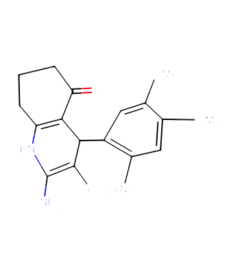 CCOC(=O)C1=C(N)NC2=C(C(=O)CCC2)C1c1cc(OC)c(OC)cc1[N+](=O)[O-]